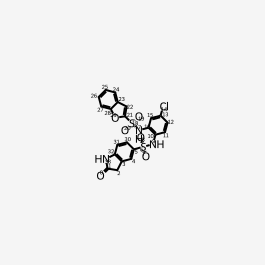 O=C1Cc2cc(S(=O)(=O)Nc3ccc(Cl)cc3NS(=O)(=O)c3cc4ccccc4o3)ccc2N1